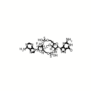 CO[C@H]1[C@H]2OP(O)(=S)OC[C@H]3O[C@@H](n4cnc5c(N)ncnc54)[C@H](F)[C@@H]3OP(O)(=S)OC[C@H]1O[C@H]2c1snc2c(=O)[nH]c(N)nc12